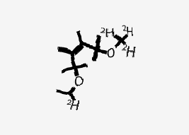 [2H]C(C)OC(C)(C)/C(C)=C(/C)C(C)(C)OC([2H])([2H])[2H]